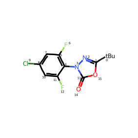 CC(C)(C)c1nn(-c2c(F)cc(Cl)cc2F)c(=O)o1